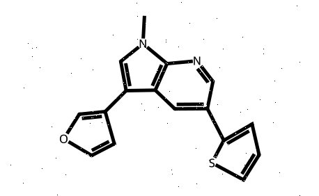 Cn1cc(-c2ccoc2)c2cc(-c3cccs3)cnc21